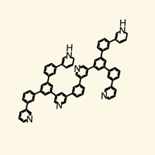 C1=CC(c2cccc(-c3cc(-c4cccc(-c5cccnc5)c4)cc(-c4cncc(-c5cccc(-c6cncc(-c7cc(-c8cccc(C9=CNCC=C9)c8)cc(-c8cccc(-c9cccnc9)c8)c7)c6)c5)c4)c3)c2)=CNC1